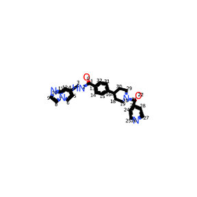 O=C(NCc1ccn2ccnc2c1)c1ccc(C2CCN(C(=O)c3ccncc3)CC2)cc1